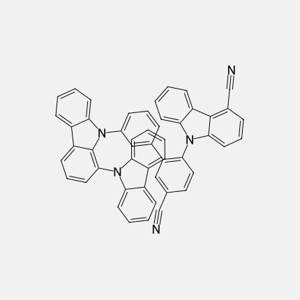 N#Cc1ccc(-n2c3ccccc3c3c(C#N)cccc32)c(-c2cccc(-n3c4ccccc4c4cccc(-n5c6ccccc6c6ccccc65)c43)c2)c1